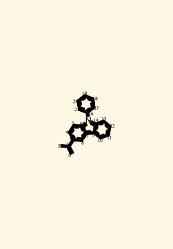 C=C(C)c1ccc2c(c1)c1ccccc1n2-c1ccccc1